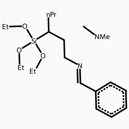 CCCC(CCN=Cc1ccccc1)[Si](OCC)(OCC)OCC.CNC